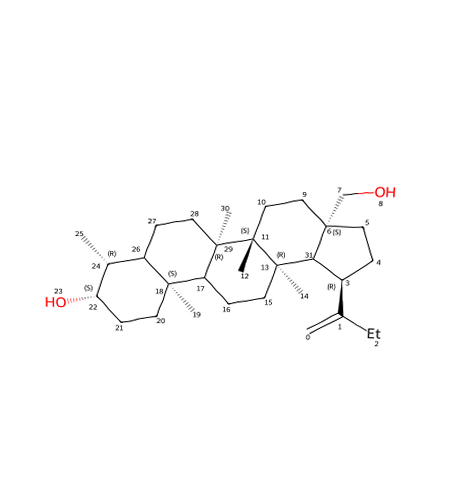 C=C(CC)[C@@H]1CC[C@]2(CO)CC[C@]3(C)[C@](C)(CCC4[C@@]5(C)CC[C@H](O)[C@H](C)C5CC[C@]43C)C12